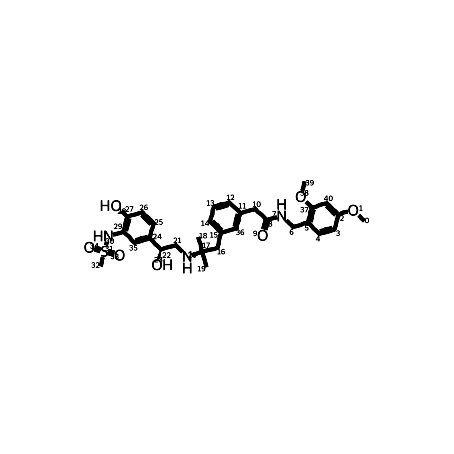 COc1ccc(CNC(=O)Cc2cccc(CC(C)(C)NC[C@@H](O)c3ccc(O)c(NS(C)(=O)=O)c3)c2)c(OC)c1